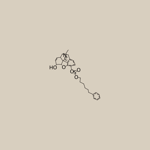 CN1CCC23c4c5ccc(OS(=O)OCCCCCCc6ccccc6)c4OC2C(O)C=CC3C1C5